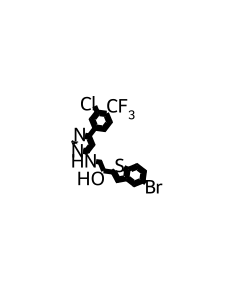 OC(CNc1cc(-c2ccc(C(F)(F)F)c(Cl)c2)ncn1)c1cc2cc(Br)ccc2s1